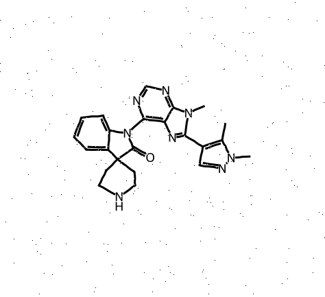 Cc1c(-c2nc3c(N4C(=O)C5(CCNCC5)c5ccccc54)ncnc3n2C)cnn1C